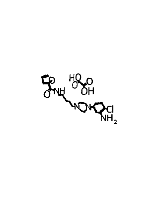 Nc1cc(N2CCN(CCCCCNC(=O)c3ccco3)CC2)ccc1Cl.O=C(O)C(=O)O